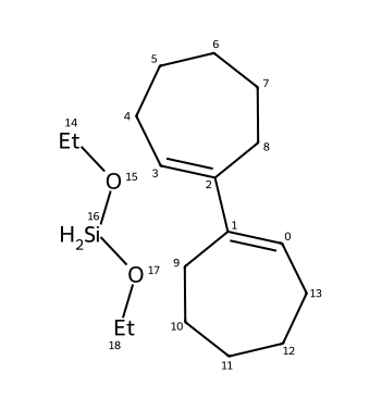 C1=C(C2=CCCCCC2)CCCCC1.CCO[SiH2]OCC